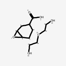 O=C(O)C1CCC2OC2C1.OCCOCCO